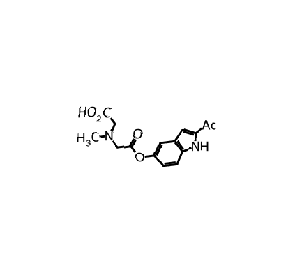 CC(=O)c1cc2cc(OC(=O)CN(C)CC(=O)O)ccc2[nH]1